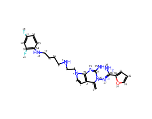 C=C1c2ccn(CCNCCCCNc3ccc(F)cc3F)c2N=C(N)N1/N=C(\N)c1ccco1